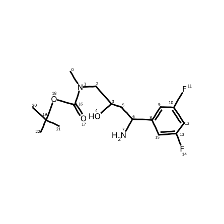 CN(CC(O)CC(N)c1cc(F)cc(F)c1)C(=O)OC(C)(C)C